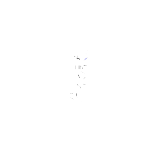 N#C/C(=C\C1CC1)C(=O)Nc1ccc(C(=O)NCc2ccc(Cl)cc2Cl)cc1